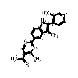 Cc1cnccc1-c1[nH]c2ccc(-c3ncc(C(N)=O)c(C)n3)cc2c1C